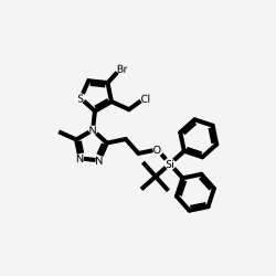 Cc1nnc(CCO[Si](c2ccccc2)(c2ccccc2)C(C)(C)C)n1-c1scc(Br)c1CCl